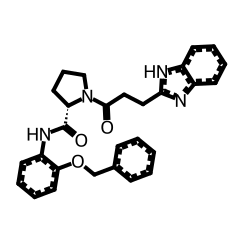 O=C(Nc1ccccc1OCc1ccccc1)[C@@H]1CCCN1C(=O)CCc1nc2ccccc2[nH]1